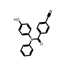 N#Cc1ccc(C(=O)N(c2ccccc2)c2ccc(O)cc2)cc1